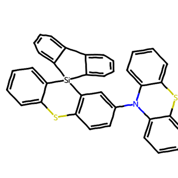 c1ccc2c(c1)Sc1ccccc1N2c1ccc2c(c1)[Si]1(c3ccccc3S2)c2ccccc2-c2ccccc21